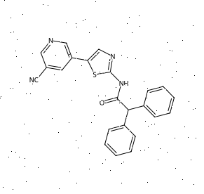 N#Cc1cncc(-c2cnc(NC(=O)C(c3ccccc3)c3ccccc3)s2)c1